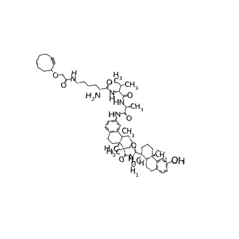 CC(C)[C@H](NC(=O)[C@H](N)CCCCNC(=O)COC1C#CCCCCC1)C(=O)N[C@@H](C)C(=O)Nc1ccc2c(c1)[C@@]1(C)CCC[C@](C)(C(=O)N(C)C(=O)[C@@]3(C)CCC[C@]4(C)c5cc(O)ccc5CC[C@@H]34)[C@]1(C)CC2